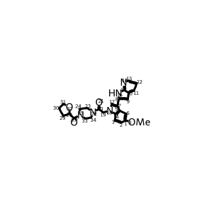 COc1ccc2c(c1)c(-c1cc3cccnc3[nH]1)cn2CC(=O)N1CCN(C(=O)C2CCCO2)CC1